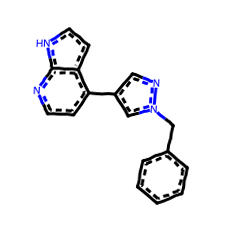 c1ccc(Cn2cc(-c3ccnc4[nH]ccc34)cn2)cc1